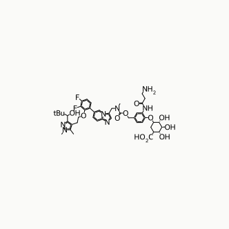 Cc1c(CCOc2c(-c3ccc4ncc(CN(C)C(=O)OCc5ccc(O[C@@H]6C[C@H](C(=O)O)[C@@H](O)[C@H](O)[C@H]6O)c(NC(=O)CCN)c5)n4c3)ccc(F)c2F)c(C(O)C(C)(C)C)nn1C